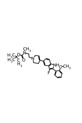 COc1ccccc1-c1[nH]c2ccc(C3=CCN(CCN(C)C(=O)OC(C)(C)C)CC3)cc2c1F